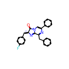 O=C1/C(=C/c2ccc(F)cc2)N=C2C(Cc3ccccc3)=NC(c3ccccc3)=CN12